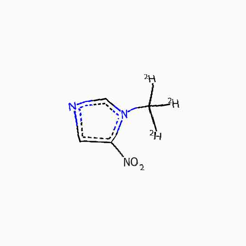 [2H]C([2H])([2H])n1cncc1[N+](=O)[O-]